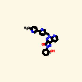 Cc1ccc(-c2ccc(Cn3nc4c(=O)n(C5CCCC[C@H]5O)nc-4c4cccnc43)cn2)cn1